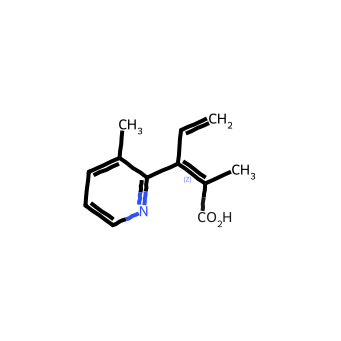 C=C/C(=C(\C)C(=O)O)c1ncccc1C